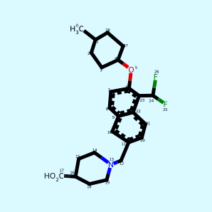 CC1CCC(Oc2ccc3cc(CN4CCC(C(=O)O)CC4)ccc3c2C(F)F)CC1